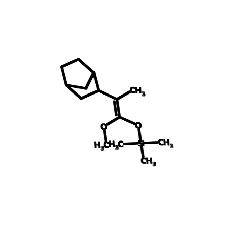 CO/C(O[Si](C)(C)C)=C(/C)C1CC2CCC1C2